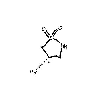 C[C@H]1CNS(=O)(=O)C1